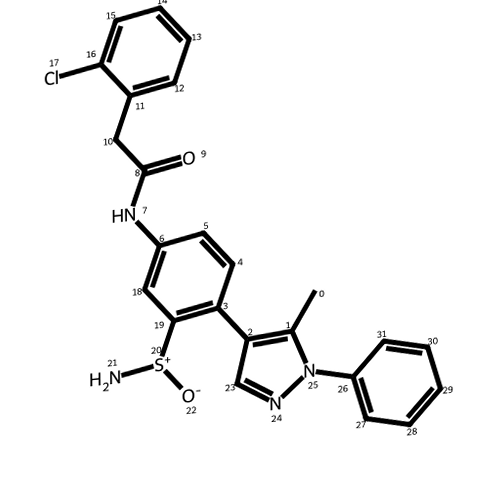 Cc1c(-c2ccc(NC(=O)Cc3ccccc3Cl)cc2[S+](N)[O-])cnn1-c1ccccc1